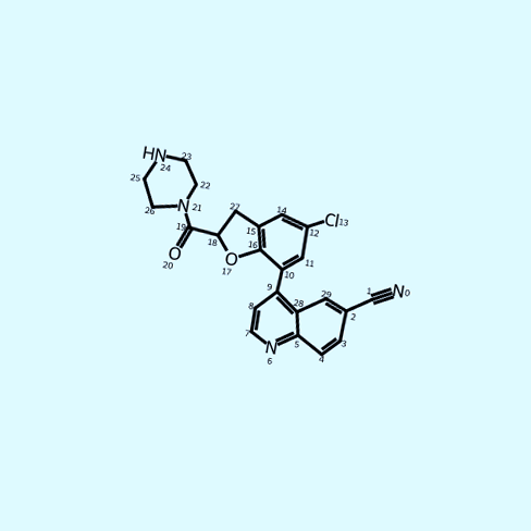 N#Cc1ccc2nccc(-c3cc(Cl)cc4c3OC(C(=O)N3CCNCC3)C4)c2c1